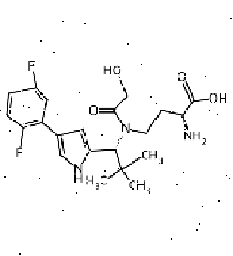 CC(C)(C)[C@H](c1cc(-c2cc(F)ccc2F)c[nH]1)N(CC[C@H](N)C(=O)O)C(=O)CO